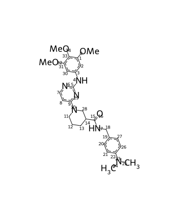 COc1cc(Nc2nccc(N3CCCC(C(=O)NCc4ccc(N(C)C)cc4)C3)n2)cc(OC)c1OC